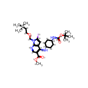 COC(=O)c1cnc2c(cc(I)n2COCC[Si](C)(C)C)c1N[C@H]1CC[C@H](NC(=O)OC(C)(C)C)CC1